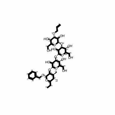 C=CCO[C@@H]1C(O)[C@@H](O[C@@H]2C(O)[C@@H](O[C@@H]3C(O)[C@@H](OC4[C@@H](OCc5ccccc5)OC(CC)[C@@H](C)[C@@H]4C)OC(CO)[C@H]3O)OC(CO)[C@H]2O)OC(CO)[C@H]1O